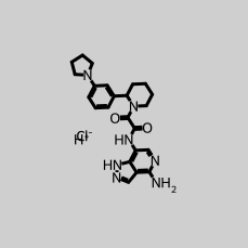 Nc1ncc(NC(=O)C(=O)N2CCCCC2c2cccc(N3CCCC3)c2)c2[nH]ncc12.[Cl-].[H+]